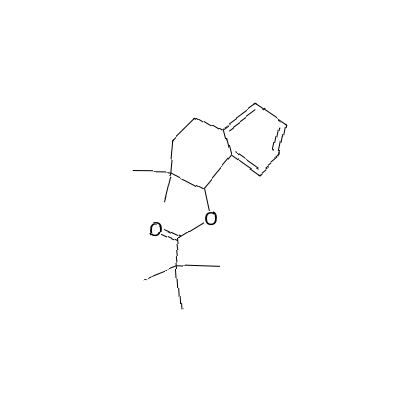 CC(C)(C)C(=O)OC1c2ccccc2CCC1(C)C